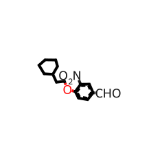 O=Cc1ccc(OCCC2CCCCC2)c([N+](=O)[O-])c1